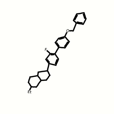 CCC1CCC2CC(c3ccc(-c4ccc(OCc5ccccc5)cc4)c(F)c3)CCC2C1